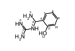 N=C(N)NC(N)c1ccccc1O